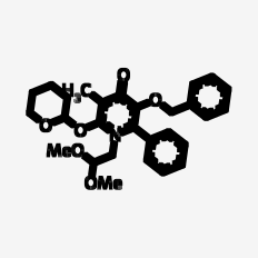 COC(Cn1c(OC2CCCCO2)c(C)c(=O)c(OCc2ccccc2)c1-c1ccccc1)OC